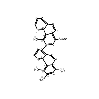 COc1cc(-c2ccnc3c2ccc2c(C)cc(C)c(O)c23)c(O)c2c1ccc1cccnc12